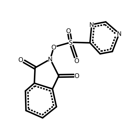 O=C1c2ccccc2C(=O)N1OS(=O)(=O)c1ccncn1